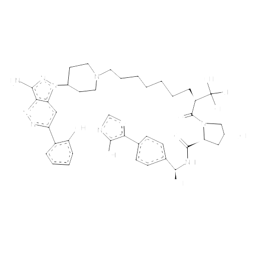 Cc1ncsc1-c1ccc([C@H](C)NC(=O)[C@@H]2C[C@@H](O)CN2C(=O)[C@@H](CCCCCCCN2CCC(n3nc(N)c4nnc(-c5ccccc5O)cc43)CC2)C(C)(C)C)cc1